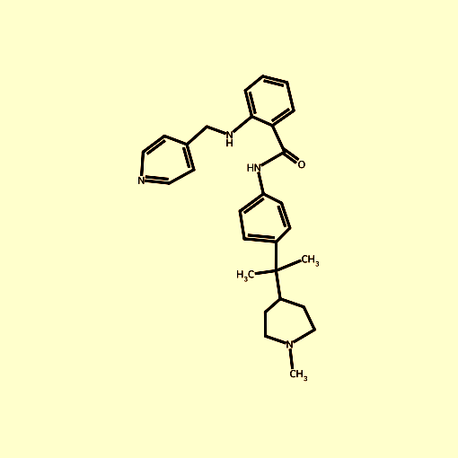 CN1CCC(C(C)(C)c2ccc(NC(=O)c3ccccc3NCc3ccncc3)cc2)CC1